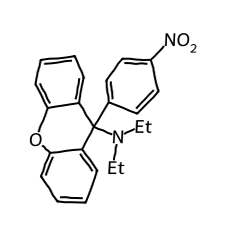 CCN(CC)C1(c2ccc([N+](=O)[O-])cc2)c2ccccc2Oc2ccccc21